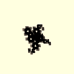 CC1=CC[C]([Zr]([O]c2ccc(C(F)(F)F)cc2)([O]c2ccc(C(F)(F)F)cc2)(=[C](C)C)[c]2cccc3c2Cc2ccccc2-3)=C1